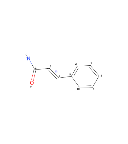 [N]C(=O)/C=C/c1ccccc1